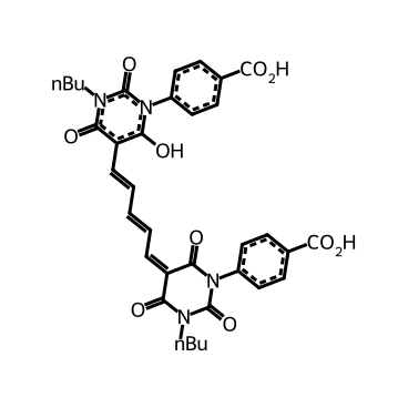 CCCCN1C(=O)/C(=C/C=C/C=C/c2c(O)n(-c3ccc(C(=O)O)cc3)c(=O)n(CCCC)c2=O)C(=O)N(c2ccc(C(=O)O)cc2)C1=O